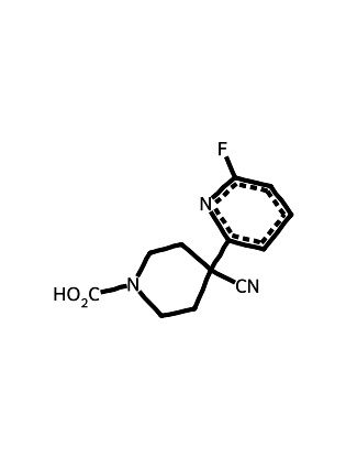 N#CC1(c2cccc(F)n2)CCN(C(=O)O)CC1